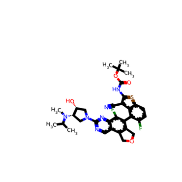 CC(C)N(C)[C@H]1CN(c2ncc3c4c(c(-c5c(F)ccc6sc(NC(=O)OC(C)(C)C)c(C#N)c56)c(F)c3n2)COC4)C[C@H]1O